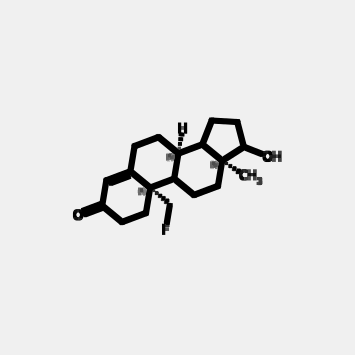 C[C@]12CCC3[C@@H](CCC4=CC(=O)CC[C@@]43CF)C1CCC2O